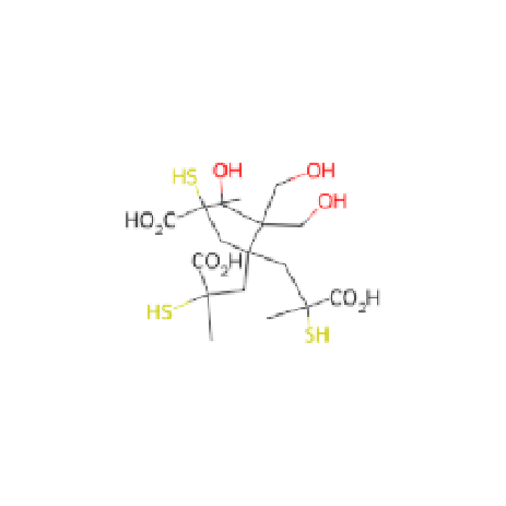 CC(S)(CC(CC(C)(S)C(=O)O)(CC(C)(S)C(=O)O)C(CO)(CO)CO)C(=O)O